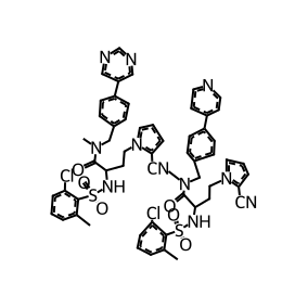 Cc1cccc(Cl)c1S(=O)(=O)NC(CCn1cccc1C#N)C(=O)N(C)Cc1ccc(-c2ccncc2)cc1.Cc1cccc(Cl)c1S(=O)(=O)NC(CCn1cccc1C#N)C(=O)N(C)Cc1ccc(-c2cncnc2)cc1